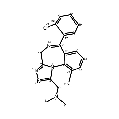 CN(C)Cc1nnc2n1-c1c(Cl)cccc1C(c1ccccc1Cl)=NC2